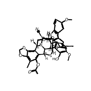 C=CCN1[C@@H]2c3c(cc(C)c(OC)c3O)C[C@H]1[C@H](C#N)N1C2[C@@H]2SC[C@]3(NCCc4c3[nH]c3ccc(OC)cc43)C(=O)OC[C@H]1c1c3c(c(C)c(OC(C)=O)c12)OCO3